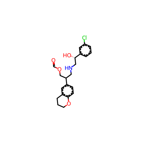 O=COCC(CNC[C@H](O)c1cccc(Cl)c1)c1ccc2c(c1)CCCO2